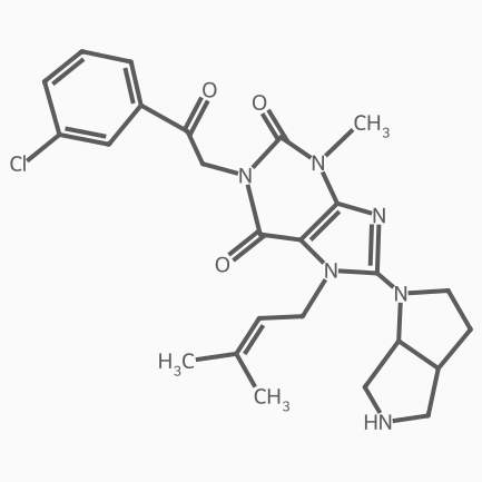 CC(C)=CCn1c(N2CCC3CNCC32)nc2c1c(=O)n(CC(=O)c1cccc(Cl)c1)c(=O)n2C